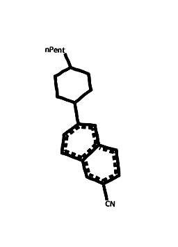 CCCCCC1CCC(c2ccc3cc(C#N)ccc3c2)CC1